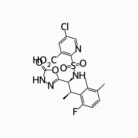 Cc1ccc(F)c([C@@H](C)[C@H](NS(=O)(=O)c2ncc(Cl)cc2C(=O)O)c2n[nH]c(=O)o2)c1C